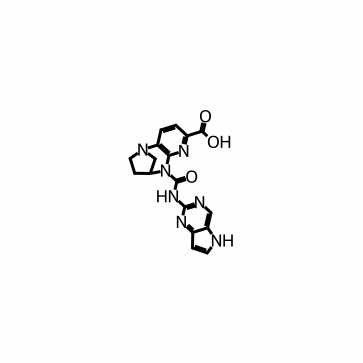 O=C(O)c1ccc2c(n1)N(C(=O)Nc1ncc3[nH]ccc3n1)C1CCN2C1